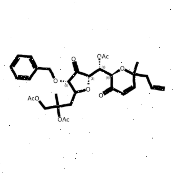 C=CCC1(C)C=CC(=O)[C@@H]([C@@H](OC(C)=O)[C@@H]2OC(CC(C)(COC(C)=O)OC(C)=O)[C@H](OCc3ccccc3)C2=O)O1